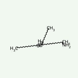 CCCCCCCCCCCCCCCCO[SiH2]OC(CCCCCCCCCCCCCCC(C)CN)OCCCCCCCCCCCC